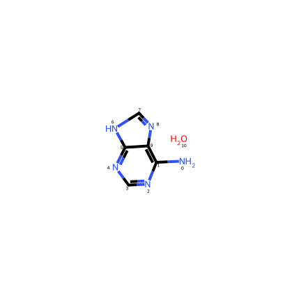 Nc1ncnc2[nH]cnc12.O